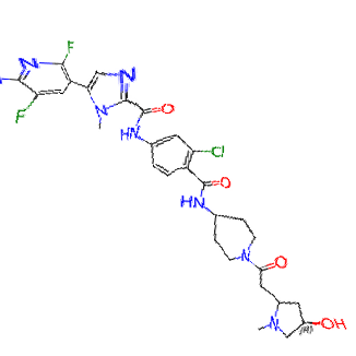 CN(C)c1nc(F)c(-c2cnc(C(=O)Nc3ccc(C(=O)NC4CCN(C(=O)CC5C[C@@H](O)CN5C)CC4)c(Cl)c3)n2C)cc1F